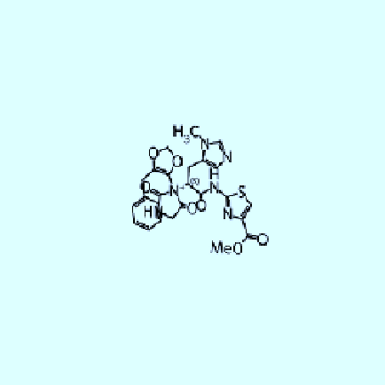 COC(=O)c1csc(NC(=O)[C@H](Cc2cncn2C)[N+]2(C3=C(Cc4ccccc4)OCO3)C(=O)CNC2=O)n1